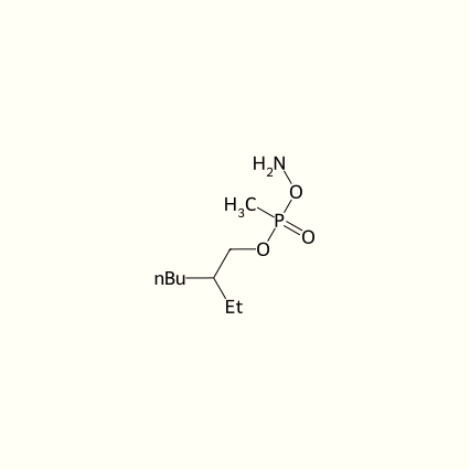 CCCCC(CC)COP(C)(=O)ON